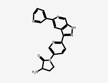 NC1CCN(c2ccc(-c3n[nH]c4cnc(-c5cccnc5)cc34)nc2)C1=O